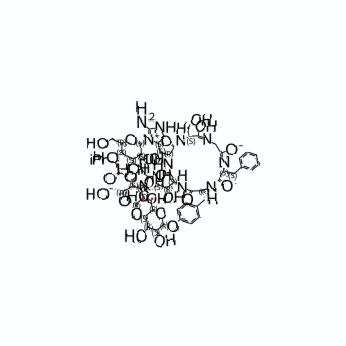 CC(C)CC(=O)O[C@H]1[C@H](O)[C@H](O)[C@@H](O[C@H]2[C@H](O)[C@H](O)[C@@H](Oc3ccc(C[C@H]4NC(=O)[C@H]([C@@H](C)c5ccccc5)N=C([O-])CN=C(O)[C@H](CO)NC(=O)[C@@H]([C@H](O)[C@@H]5CNC(N)=[N+]5[C@H]5O[C@H](CO)[C@@H](O)[C@H](O)[C@@H]5O)NC(=O)[C@H]([C@H](O)[C@@H]5CN=C(N)N5)NC4=O)cc3)O[C@@H]2CO)O[C@@H]1CO